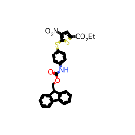 CCOC(=O)c1cc([N+](=O)[O-])c(Sc2ccc(NC(=O)OCC3c4ccccc4-c4ccccc43)cc2)s1